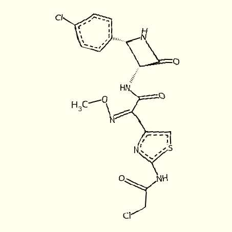 CON=C(C(=O)N[C@H]1C(=O)N[C@H]1c1ccc(Cl)cc1)c1csc(NC(=O)CCl)n1